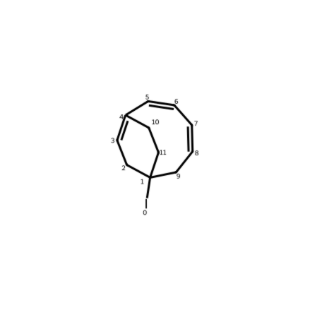 IC12CC=C(/C=C\C=C/C1)CC2